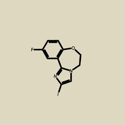 Fc1ccc2c(c1)-c1nc(I)cn1CCO2